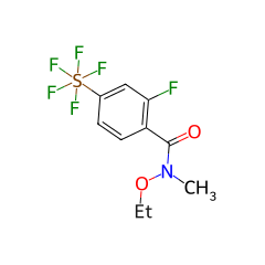 CCON(C)C(=O)c1ccc(S(F)(F)(F)(F)F)cc1F